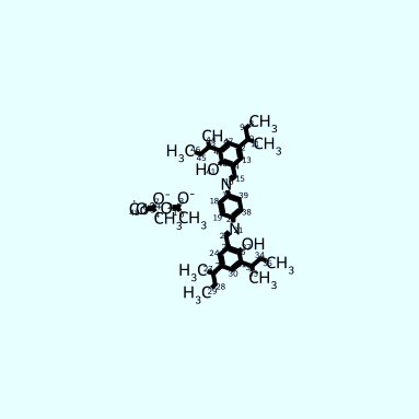 CC(=O)[O-].CC(=O)[O-].CCC(C)c1cc(C=Nc2ccc(N=Cc3cc(C(C)CC)cc(C(C)CC)c3O)cc2)c(O)c(C(C)CC)c1.[Co+2]